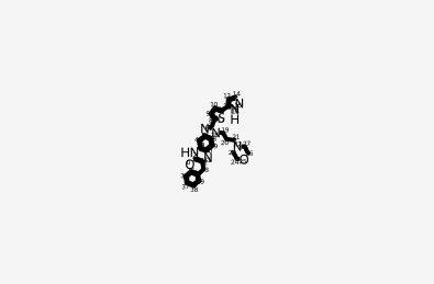 O=c1[nH]c2cc3nc(-c4ccc(-c5ccn[nH]5)s4)n(CCCN4CCOCC4)c3cc2nc1Cc1ccccc1